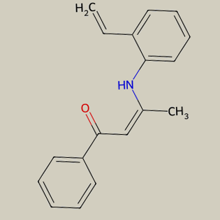 C=Cc1ccccc1N/C(C)=C\C(=O)c1ccccc1